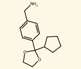 NCc1ccc(C2(C3CCCC3)OCCO2)cc1